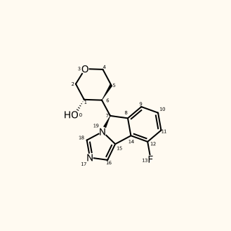 O[C@@H]1COCC[C@H]1[C@H]1c2cccc(F)c2-c2cncn21